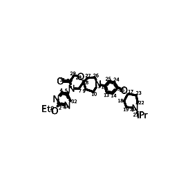 CCOc1ncc(N2CC3(CCN(c4ccc(OC5CCN(C(C)C)CC5)cc4)CC3)OCC2=O)cn1